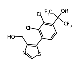 OCc1ncsc1-c1ccc(C(O)(C(F)(F)F)C(F)(F)F)c(Cl)c1Cl